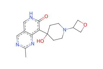 Cc1ncc2c[nH]c(=O)c(C3(O)CCN(C4COC4)CC3)c2n1